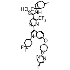 CC1CC2CC(C1)C(NC(=O)c1cnc(-c3cn(C4CCC(F)(F)CC4)c4cc(OC5CCN(c6ncc(F)cn6)CC5)ccc34)nc1C(F)(F)F)(C(=O)O)C2